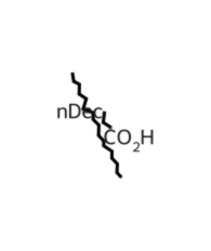 CCCCCCCCCCCCCC(=O)O.CCCCCCCCCCCCCCCCC